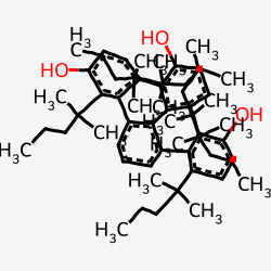 CCCC(C)(C)c1ccc(O)c(C(C)(C)CCC)c1-c1cccc(-c2c(C(C)(C)CCC)ccc(O)c2C(C)(C)CCC)c1-c1c(C(C)(C)CCC)ccc(O)c1C(C)(C)CCC